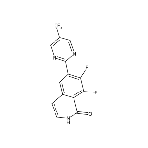 O=c1[nH]ccc2cc(-c3ncc(C(F)(F)F)cn3)c(F)c(F)c12